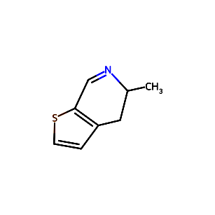 CC1Cc2ccsc2C=N1